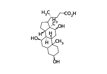 C[C@H](CCC(=O)O)C1CC[C@H]2[C@@H]3[C@H](O)CC4C[C@H](O)CCC4(C)[C@H]3C[C@H](O)[C@]12C